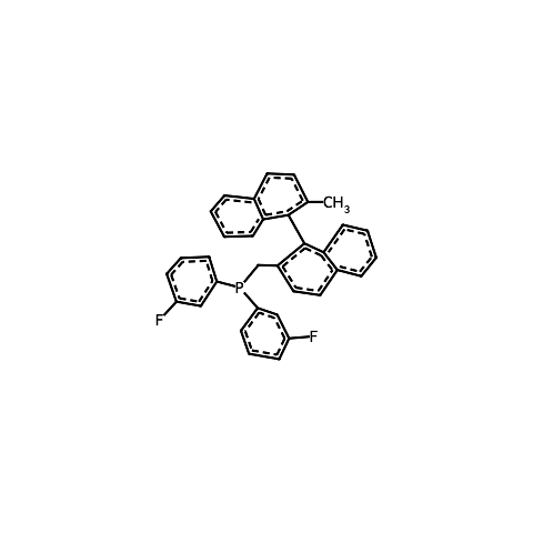 Cc1ccc2ccccc2c1-c1c(CP(c2cccc(F)c2)c2cccc(F)c2)ccc2ccccc12